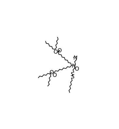 CCCCCCCCSSCCC(=O)N(CCCN(C)C)C(CCCCCCCCC(=O)OC(CCCCCC)CCCCCC)CCCCCCCCC(=O)OC(CCCCCC)CCCCCC